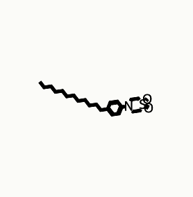 CCCCCCCCCCCCc1ccc(N2CCS(=O)(=O)CC2)cc1